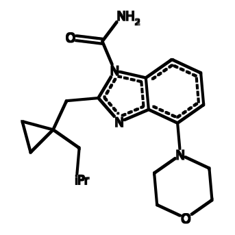 CC(C)CC1(Cc2nc3c(N4CCOCC4)cccc3n2C(N)=O)CC1